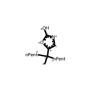 CCCCCC(C)(CCCCC)c1cnc(O)o1